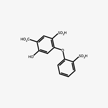 O=C(O)c1cc(S(=O)(=O)O)c(Oc2ccccc2S(=O)(=O)O)cc1O